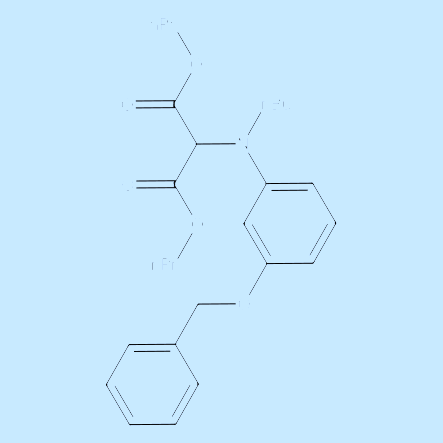 CCCCN(c1cccc(OCc2ccccc2)c1)C(C(=O)OCCC)C(=O)OCCC